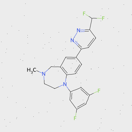 CN1CCN(c2cc(F)cc(F)c2)c2ccc(-c3ccc(C(F)F)nn3)cc2C1